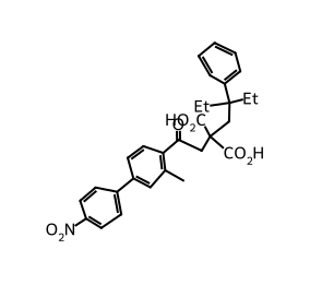 CCC(CC)(CC(CC(=O)c1ccc(-c2ccc([N+](=O)[O-])cc2)cc1C)(C(=O)O)C(=O)O)c1ccccc1